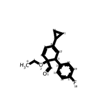 CCOC1(C=O)C=CC(C2CC2)=CC1c1ccc(F)cc1